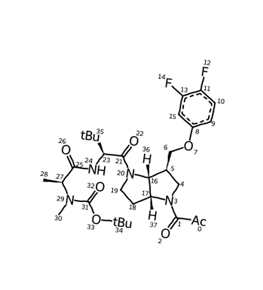 CC(=O)C(=O)N1C[C@H](COc2ccc(F)c(F)c2)[C@@H]2[C@H]1CCN2C(=O)[C@@H](NC(=O)[C@H](C)N(C)C(=O)OC(C)(C)C)C(C)(C)C